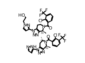 C[C@H]1Cc2c(nnn2-c2ccn[nH]2)[C@H](C)N1C(=O)c1cccc(C(F)(F)F)c1Cl.C[C@H]1c2nnn(-c3ccn(CCO)n3)c2CCN1C(=O)c1cccc(C(F)(F)F)c1Cl